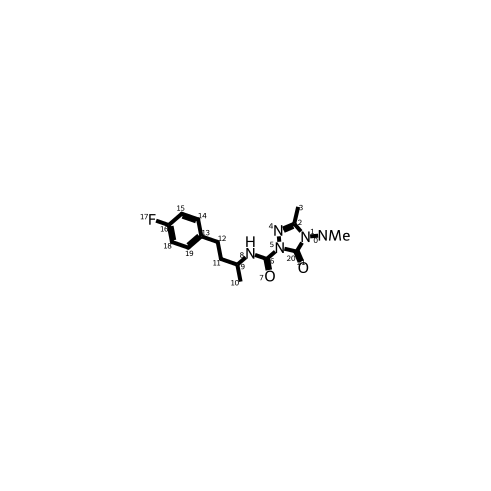 CNn1c(C)nn(C(=O)NC(C)CCc2ccc(F)cc2)c1=O